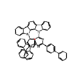 c1ccc(-c2ccc(-c3nc(-n4c5ccccc5c5ccccc54)nc(-n4c5ccccc5c5ccc6c7ccccc7n(-c7cccc(-c8ccccc8)c7)c6c54)n3)cc2)cc1